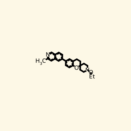 CCON1CCC2(CCc3cc(-c4ccc5cnc(C)cc5c4)ccc3O2)CC1